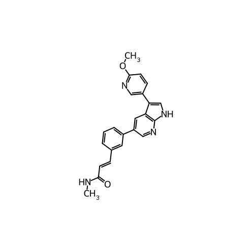 CNC(=O)/C=C/c1cccc(-c2cnc3[nH]cc(-c4ccc(OC)nc4)c3c2)c1